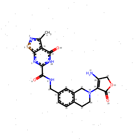 Cc1nsc2nc(C(=O)NCc3ccc4c(c3)CN(C3=C(N)COC3=O)CC4)[nH]c(=O)c12